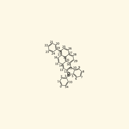 c1ccc(B2c3ccccc3-c3c2cc2ccc4c(-c5ccccc5)ccc5ccc3c2c54)cc1